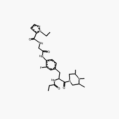 CCC(=O)NC(Cc1ccc(NC(=O)CNC(=O)c2ccnn2CC)c(F)c1)C(=O)N1CC(C)N(C)C(C)C1